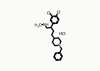 CNCC(CCC1CCN(Cc2ccccc2)CC1)c1ccc(Cl)c(Cl)c1.Cl